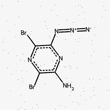 [N-]=[N+]=Nc1nc(N)c(Br)nc1Br